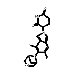 O=C1CCC(n2cc3cc(F)c(N4C5CNCC4C5)c(F)c3c2)C(=O)N1